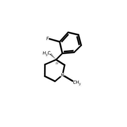 CN1CCC[C@@](C)(c2ccccc2F)C1